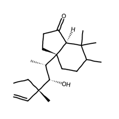 C=C[C@](C)(CC)[C@@H](O)[C@H](C)[C@]12CCC(=O)[C@H]1C(C)(C)C(C)CC2